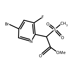 COC(=O)C(c1ncc(Br)cc1F)S(C)(=O)=O